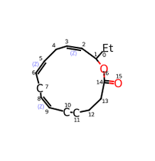 CCC1/C=C\C/C=C\C/C=C\CCCCC(=O)O1